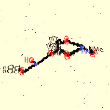 CCCCCCCCC(CCCCCCCC)OC(=O)CCCCCCCN(CCO)CCCCCCCC(=O)OCCCC(CCCCC)CCCC(C)C(CCC)CC(CCCCC)CCOC(=O)CCCCCCCN(CCCCCCCC(=O)OCCC(CCCCC)CCCCC)CCCNc1c(NC)c(=O)c1=O